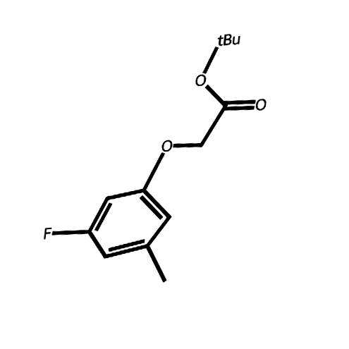 Cc1cc(F)cc(OCC(=O)OC(C)(C)C)c1